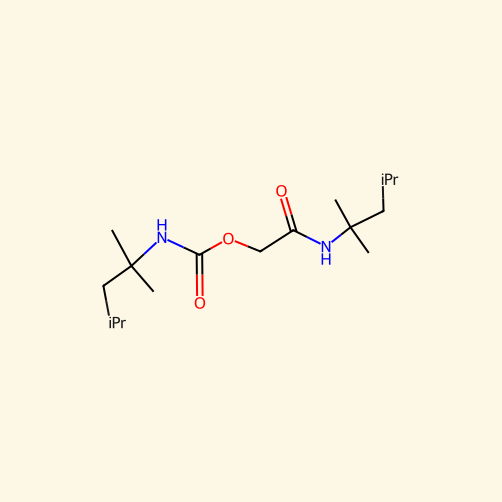 CC(C)CC(C)(C)NC(=O)COC(=O)NC(C)(C)CC(C)C